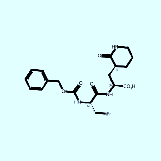 CC(C)C[C@H](NC(=O)OCc1ccccc1)C(=O)N[C@@H](C[C@@H]1CCCNC1=O)C(=O)O